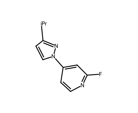 CC(C)c1ccn(-c2ccnc(F)c2)n1